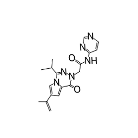 C=C(C)c1cc2c(=O)n(CC(=O)Nc3ccncn3)nc(C(C)C)n2c1